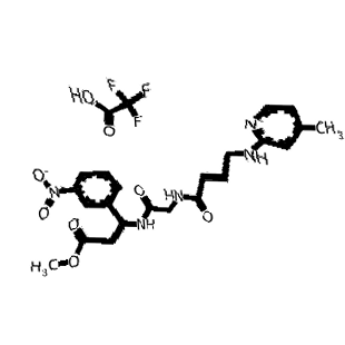 COC(=O)CC(NC(=O)CNC(=O)CCCNc1cc(C)ccn1)c1cccc([N+](=O)[O-])c1.O=C(O)C(F)(F)F